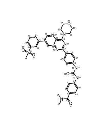 CN(C)C(=O)c1ccc(NC(=O)Nc2ccc(-c3nc(N4CCOCC4)c4ncc(-c5cccc(S(C)(=O)=O)c5)cc4n3)cc2)cc1